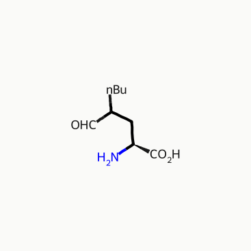 CCCCC(C=O)C[C@H](N)C(=O)O